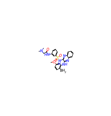 Bc1ccc(OC)cc1Nc1nc2ccccc2nc1NS(=O)(=O)c1cccc(NC(=O)CN(C)C)c1